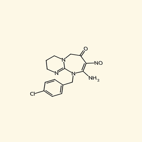 NC1=C(N=O)C(=O)CN2CCCN=C2N1Cc1ccc(Cl)cc1